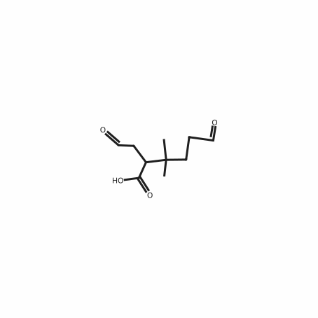 CC(C)(CCC=O)C(CC=O)C(=O)O